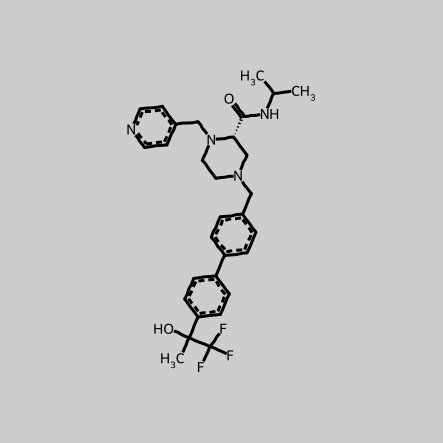 CC(C)NC(=O)[C@@H]1CN(Cc2ccc(-c3ccc(C(C)(O)C(F)(F)F)cc3)cc2)CCN1Cc1ccncc1